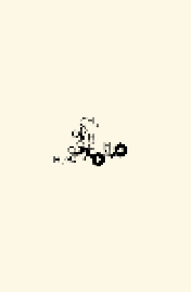 CCOC(=O)COc1c(C(=O)OC)sc(-c2cccc(NCc3ccccc3)c2)c1C